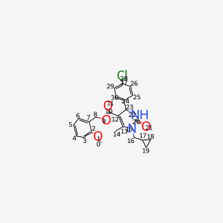 COc1ccccc1COC(=O)C1=C(C)N(CC2CC2)C(=O)NC1c1ccc(Cl)cc1